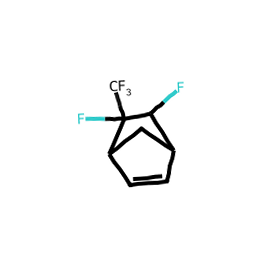 FC1C2C=CC(C2)C1(F)C(F)(F)F